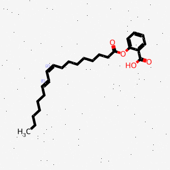 CCCCCC/C=C/C=C\CCCCCCCC(=O)Oc1ccccc1C(=O)O